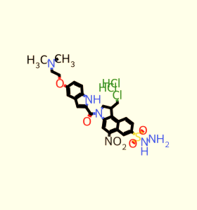 CN(C)CCOc1ccc2[nH]c(C(=O)N3CC(CCl)c4c3cc([N+](=O)[O-])c3cc(S(=O)(=O)NN)ccc43)cc2c1.Cl.Cl